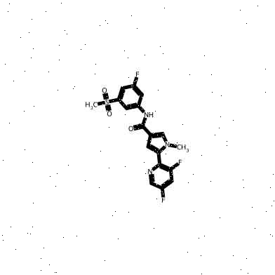 Cn1cc(C(=O)Nc2cc(F)cc(S(C)(=O)=O)c2)cc1-c1ncc(F)cc1F